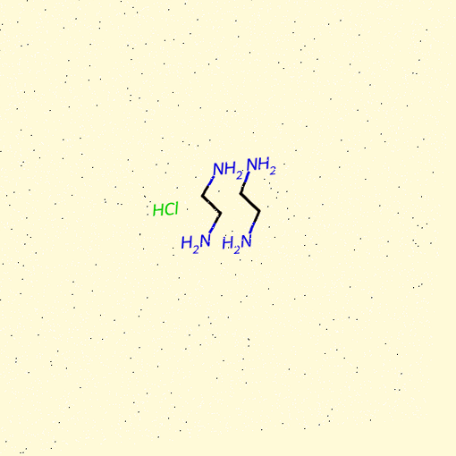 Cl.NCCN.NCCN